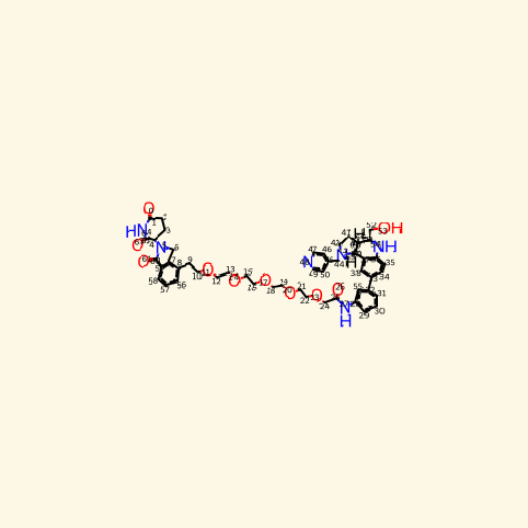 O=C1CCC(N2Cc3c(CCOCCOCCOCCOCCOCC(=O)Nc4cccc(-c5ccc6c(c5)[C@H]5[C@H](CCN5Cc5ccncc5)[C@@H](CO)N6)c4)cccc3C2=O)C(=O)N1